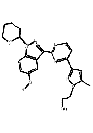 Cc1cc(-c2ccnc(-c3nn(C4CCCCO4)c4ccc(OC(C)C)cc34)n2)nn1CCO